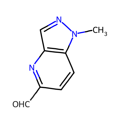 Cn1ncc2nc(C=O)ccc21